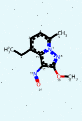 CCc1ccc(C)n2nc(OC)c(N=O)c12